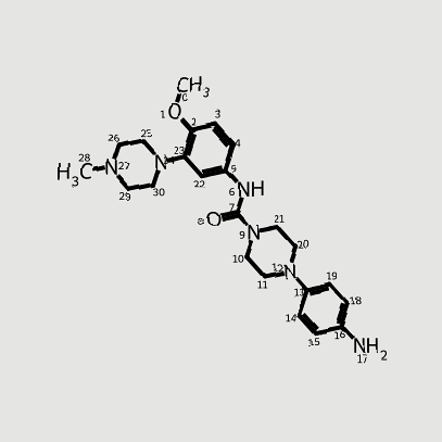 COc1ccc(NC(=O)N2CCN(c3ccc(N)cc3)CC2)cc1N1CCN(C)CC1